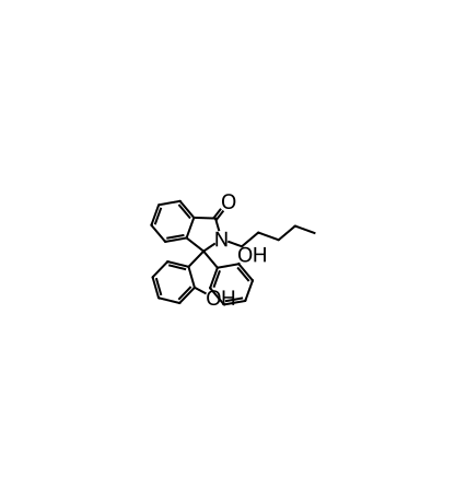 CCCCCN1C(=O)c2ccccc2C1(c1ccccc1O)c1ccccc1O